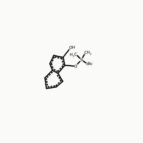 CC(C)(C)[Si](C)(C)Oc1c(O)ccc2ccccc12